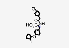 O=C(Cc1ccc(Cl)cc1)N/C(=C/c1ccc(Oc2ccccc2I)cc1)C(=O)O